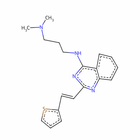 CN(C)CCCNc1nc(C=Cc2cccs2)nc2ccccc12